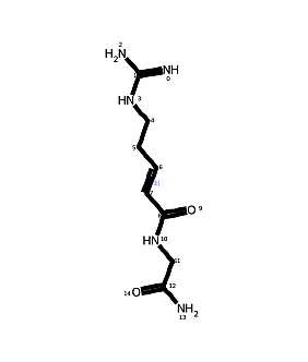 N=C(N)NCC/C=C/C(=O)NCC(N)=O